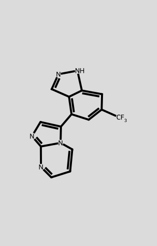 FC(F)(F)c1cc(-c2cnc3ncccn23)c2cn[nH]c2c1